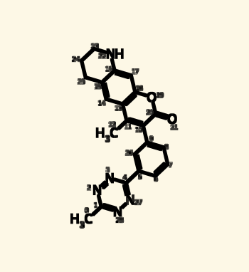 Cc1nnc(-c2cccc(-c3c(C)c4cc5c(cc4oc3=O)NCCC5)c2)nn1